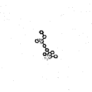 NC/C(C1=CC=CCC1)=C1\NC(c2ccccc2)=C(c2ccc(-c3ccc(C4=CC(C5=CCCC(c6ccccc6)=C5)NC(C5CC=CCC5)=N4)cc3)cc2)C2=C1CCC=C2